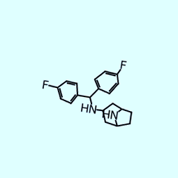 Fc1ccc(C(NC2CC3CCC(C2)N3)c2ccc(F)cc2)cc1